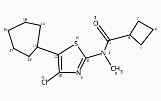 CN(C(=O)C1CCC1)c1nc(Cl)c(C2CCCCC2)s1